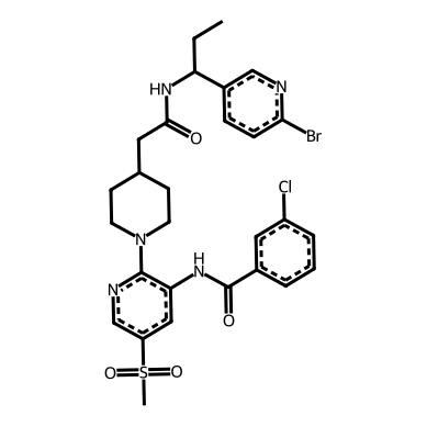 CCC(NC(=O)CC1CCN(c2ncc(S(C)(=O)=O)cc2NC(=O)c2cccc(Cl)c2)CC1)c1ccc(Br)nc1